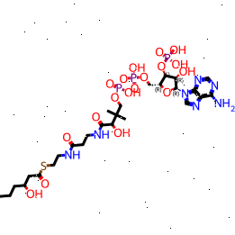 CCCC(O)CC(=O)SCCNC(=O)CCNC(=O)C(O)C(C)(C)COP(=O)(O)OP(=O)(O)OC[C@H]1O[C@@H](n2cnc3c(N)ncnc32)[C@H](O)[C@@H]1OP(=O)(O)O